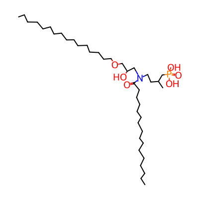 CCCCCCCCCCCCCCCCOCC(O)CN(CCC(C)CP(=O)(O)O)C(=O)CCCCCCCCCCCCCCC